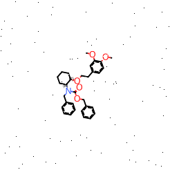 COc1ccc(CCO[C@@H]2CCCC[C@H]2N(Cc2ccccc2)C(=O)OCc2ccccc2)cc1OC